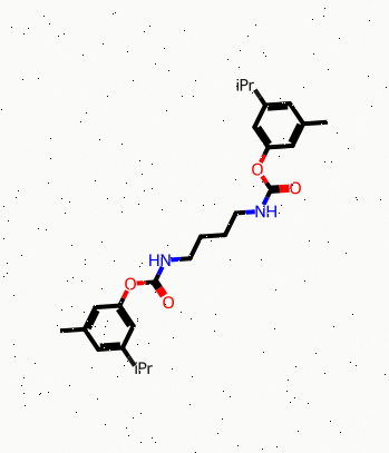 Cc1cc(OC(=O)NCCCCNC(=O)Oc2cc(C)cc(C(C)C)c2)cc(C(C)C)c1